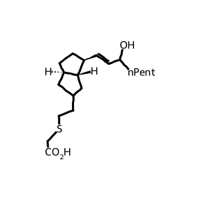 CCCCCC(O)C=C[C@@H]1CC[C@@H]2CC(CCSCC(=O)O)C[C@H]21